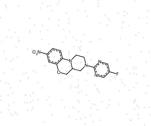 O=[N+]([O-])c1ccc2c(c1)OCC1CN(c3ncc(F)cn3)CCN21